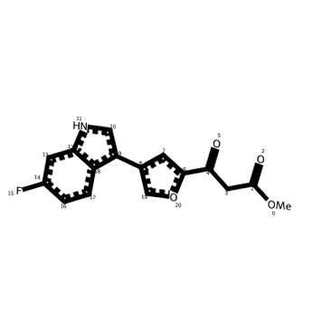 COC(=O)CC(=O)c1cc(-c2c[nH]c3cc(F)ccc23)co1